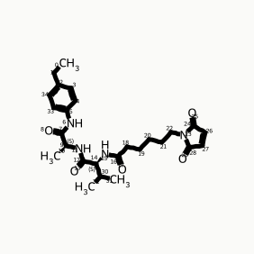 CCc1ccc(NC(=O)[C@H](C)NC(=O)[C@@H](NC(=O)CCCCCN2C(=O)C=CC2=O)C(C)C)cc1